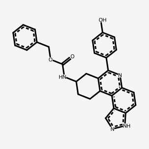 O=C(NC1CCc2c(c(-c3ccc(O)cc3)nc3ccc4[nH]ncc4c23)C1)OCc1ccccc1